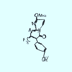 COc1ccn2c(=O)c(-c3ccc(O)cc3)c(C(F)(F)F)nc2n1